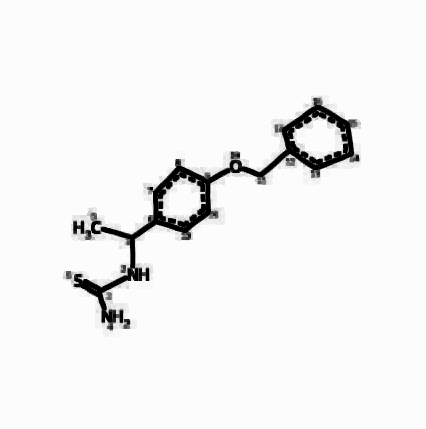 CC(NC(N)=S)c1ccc(OCc2ccccc2)cc1